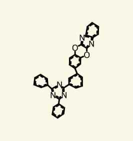 c1ccc(-c2nc(-c3ccccc3)nc(-c3cccc(-c4ccc5c(c4)Oc4nc6ccccc6nc4O5)c3)n2)cc1